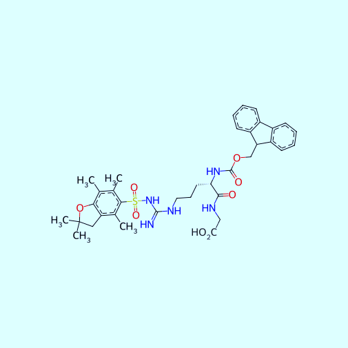 Cc1c(C)c(S(=O)(=O)NC(=N)NCCC[C@H](NC(=O)OCC2c3ccccc3-c3ccccc32)C(=O)NCC(=O)O)c(C)c2c1OC(C)(C)C2